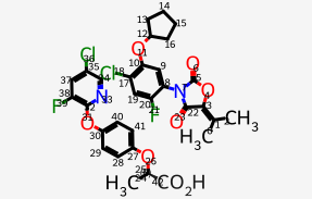 CC(C)=C1OC(=O)N(c2cc(OC3CCCC3)c(Cl)cc2F)C1=O.C[C@@H](Oc1ccc(Oc2ncc(Cl)cc2F)cc1)C(=O)O